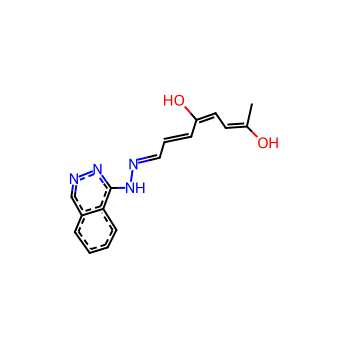 C\C(O)=C/C=C(O)\C=C\C=N\Nc1nncc2ccccc12